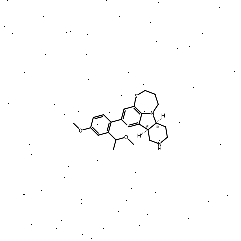 COc1ccc(-c2cc3c4c(c2)[C@@H]2CNCC[C@@H]2N4CCCS3)c(C(C)OC)c1